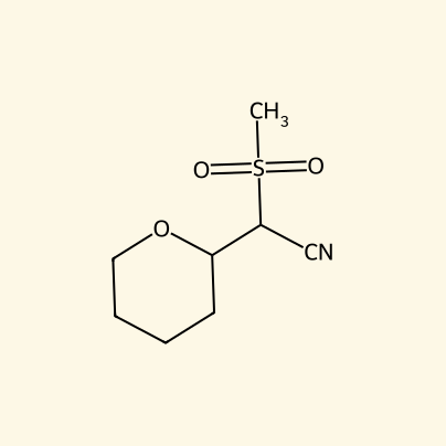 CS(=O)(=O)C(C#N)C1CCCCO1